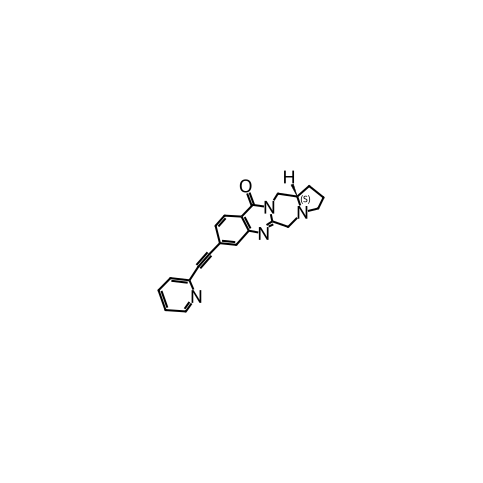 O=c1c2ccc(C#Cc3ccccn3)cc2nc2n1C[C@@H]1CCCN1C2